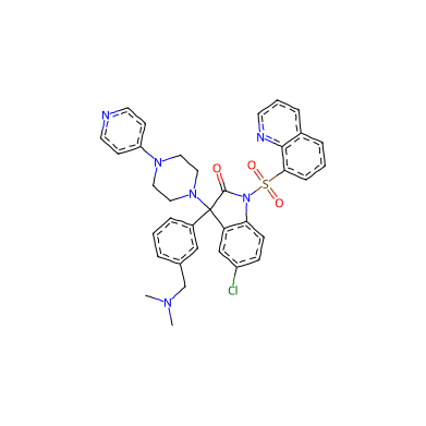 CN(C)Cc1cccc(C2(N3CCN(c4ccncc4)CC3)C(=O)N(S(=O)(=O)c3cccc4cccnc34)c3ccc(Cl)cc32)c1